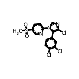 CS(=O)(=O)c1ccc(-n2cnc(Cl)c2-c2ccc(Cl)c(Cl)c2)nc1